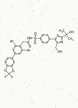 CC(C)c1cc(-c2ccc3c(c2)OC(F)(F)O3)cc(C(C)C)c1CC(=O)NS(=O)(=O)c1ccc(-c2sc(C(C)(C)O)nc2CO)cc1